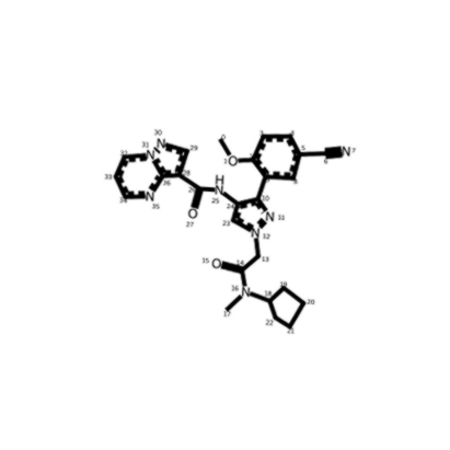 COc1ccc(C#N)cc1-c1nn(CC(=O)N(C)C2CCCC2)cc1NC(=O)c1cnn2cccnc12